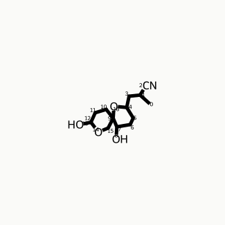 CC(C#N)CC1CCC(O)C2(CCC(O)OC2)O1